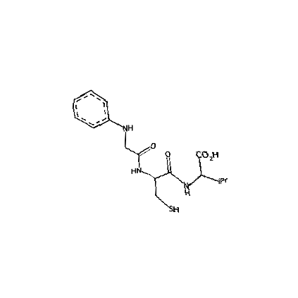 CC(C)C(NC(=O)C(CS)NC(=O)CNc1ccccc1)C(=O)O